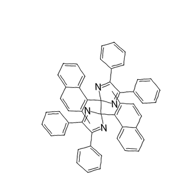 Cc1ccc2ccccc2c1C1(C2(c3c(C)ccc4ccccc34)N=C(c3ccccc3)C(c3ccccc3)=N2)N=C(c2ccccc2)C(c2ccccc2)=N1